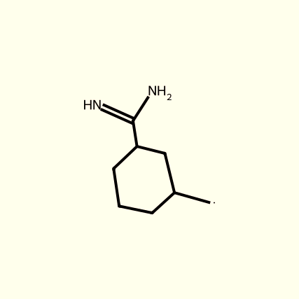 [CH2]C1CCCC(C(=N)N)C1